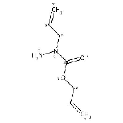 C=CCOC(=O)N(N)CC=C